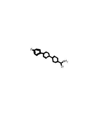 CCC(N)C1CCC(C2CCC(c3ccc(F)cc3)CC2)CC1